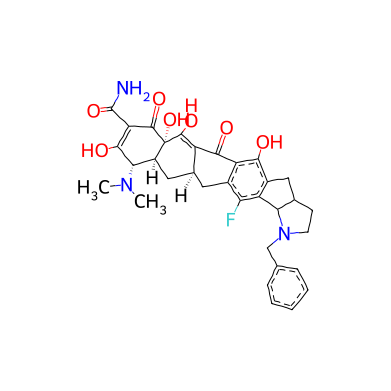 CN(C)[C@@H]1C(O)=C(C(N)=O)C(=O)[C@@]2(O)C(O)=C3C(=O)c4c(O)c5c(c(F)c4C[C@H]3C[C@@H]12)C1C(CCN1Cc1ccccc1)C5